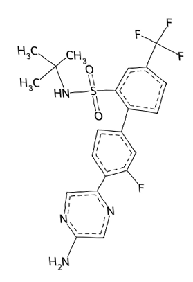 CC(C)(C)NS(=O)(=O)c1cc(C(F)(F)F)ccc1-c1ccc(-c2cnc(N)cn2)c(F)c1